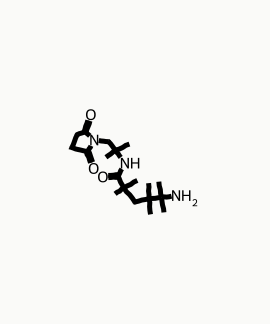 CC(C)(CN1C(=O)CCC1=O)NC(=O)C(C)(C)CC(C)(C)C(C)(C)N